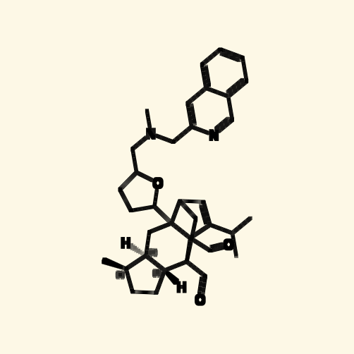 CC(C)C1=CC2CC3(C=O)[C@@H]4CC[C@@H](C)[C@H]4CC2(C2CCC(CN(C)Cc4cc5ccccc5cn4)O2)C13C=O